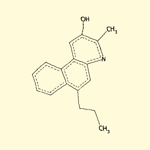 CCCc1cc2nc(C)c(O)cc2c2ccccc12